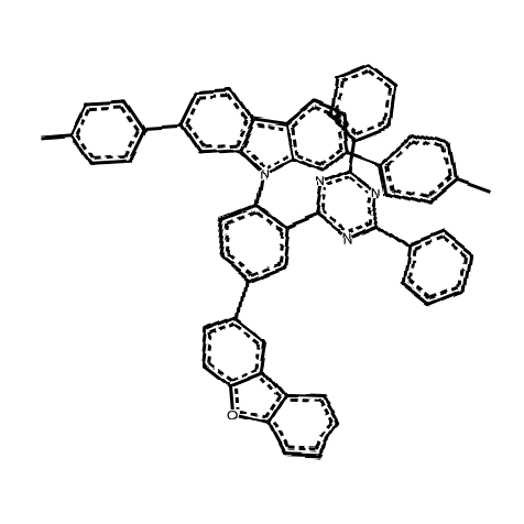 Cc1ccc(-c2ccc3c4ccc(-c5ccc(C)cc5)cc4n(-c4ccc(-c5ccc6oc7ccccc7c6c5)cc4-c4nc(-c5ccccc5)nc(-c5ccccc5)n4)c3c2)cc1